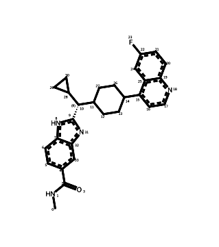 CNC(=O)c1ccc2[nH]c([C@@H](C3CCC(c4ccnc5ccc(F)cc45)CC3)C3CC3)nc2c1